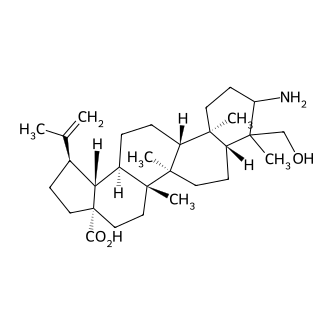 C=C(C)[C@@H]1CC[C@]2(C(=O)O)CC[C@]3(C)[C@H](CC[C@@H]4[C@@]5(C)CCC(N)C(C)(CO)[C@@H]5CC[C@]43C)[C@@H]12